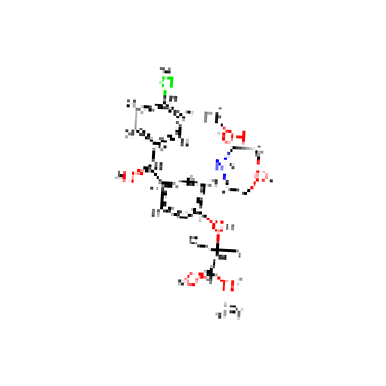 C1COCCN1.CC(C)OC(=O)C(C)(C)Oc1ccc(C(=O)c2ccc(Cl)cc2)cc1.CCO